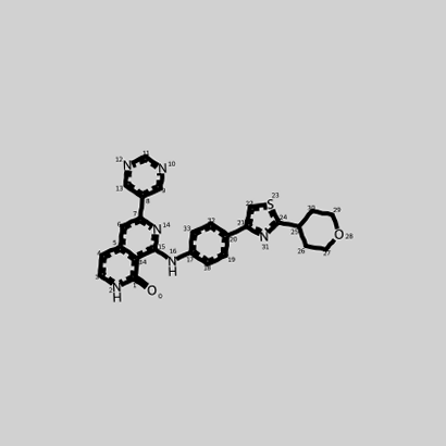 O=c1[nH]ccc2cc(-c3cncnc3)nc(Nc3ccc(-c4csc(C5CCOCC5)n4)cc3)c12